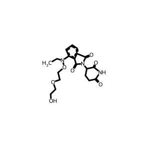 CCN(OCCOCCO)c1cccc2c1C(=O)N(C1CCC(=O)NC1=O)C2=O